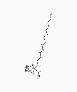 C=CCCCCCCCCCCCCC(CO)(CO)CO